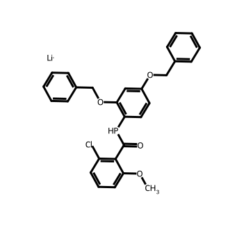 COc1cccc(Cl)c1C(=O)Pc1ccc(OCc2ccccc2)cc1OCc1ccccc1.[Li]